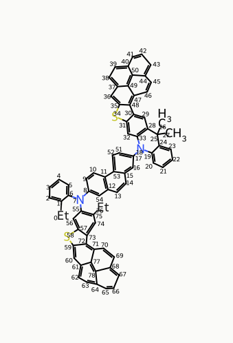 CCc1ccccc1N(c1ccc2c(ccc3cc(N4c5ccccc5C(C)(C)c5cc6c(cc54)sc4cc5ccc7cccc8ccc(c46)c5c78)ccc32)c1)c1cc2sc3cc4ccc5cccc6ccc(c3c2cc1CC)c4c56